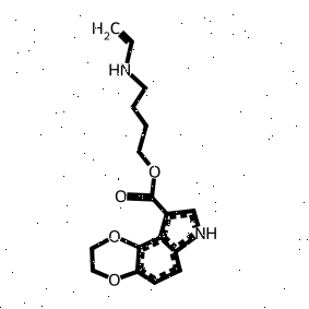 C=CNCCCCOC(=O)c1c[nH]c2ccc3c(c12)OCCO3